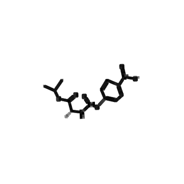 CC(C)OC(=O)[C@@H](C)N[PH](=O)Oc1ccc([N+](=O)[O-])cc1